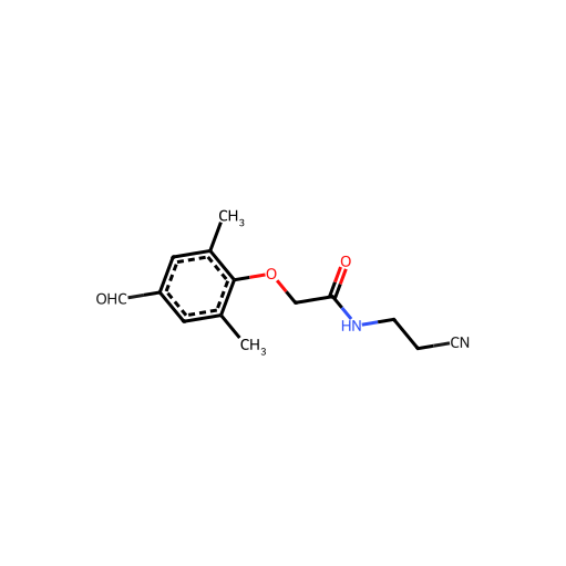 Cc1cc(C=O)cc(C)c1OCC(=O)NCCC#N